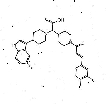 O=C(O)C(C1CCN(C(=O)/C=C/c2ccc(Cl)c(Cl)c2)CC1)N1CCC(c2c[nH]c3ccc(F)cc23)CC1